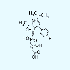 CC(C)c1cc(-c2ccc(F)cc2)c(C#CP(=O)(O)C[C@@H](O)CC(=O)O)c(C(C)C)n1